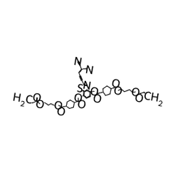 C=CC(=O)OCCCCOC(=O)C1CCC(C(=O)Oc2ccc(OC(=O)C3CCC(C(=O)OCCCCOC(=O)C=C)CC3)c3sc(C#CC=C(C#N)C#N)nc23)CC1